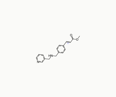 COC(=O)/C=C/c1ccc(CNCc2cccnc2)cc1